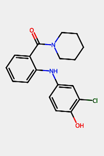 O=C(c1ccccc1Nc1ccc(O)c(Cl)c1)N1CCCCC1